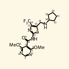 COc1ncnc(OC)c1C(=O)Nc1nc(C(F)(F)F)c(CNC2CCCC2)s1